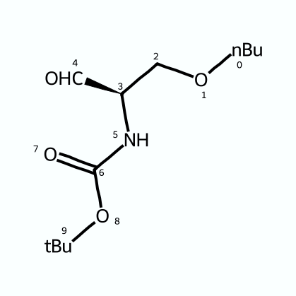 CCCCOC[C@H](C=O)NC(=O)OC(C)(C)C